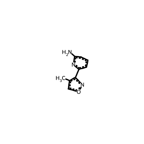 Cc1conc1-c1cccc(N)n1